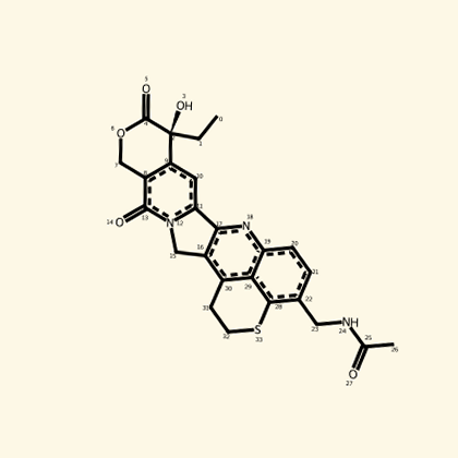 CC[C@@]1(O)C(=O)OCc2c1cc1n(c2=O)Cc2c-1nc1ccc(CNC(C)=O)c3c1c2CCS3